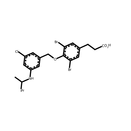 CC(C)C(C)Nc1cc(Cl)cc(COc2c(Br)cc(CCC(=O)O)cc2Br)c1